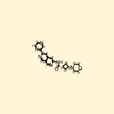 O=C(Nc1cc2cc(-c3cnccn3)ncc2cn1)[C@H]1C[C@H](N2CCOCC2)C1